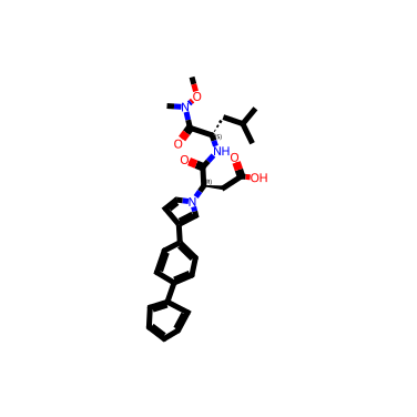 CON(C)C(=O)[C@H](CC(C)C)NC(=O)[C@@H](CC(=O)O)n1ccc(-c2ccc(-c3ccccc3)cc2)c1